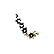 CCC[C@H]1CC[C@H]([C@H]2CC[C@H](c3ccc(C(F)(F)Oc4cc(F)c(OC(F)F)c(F)c4)cc3)CC2)CC1